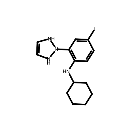 Ic1ccc(NC2CCCCC2)c(N2NC=CN2)c1